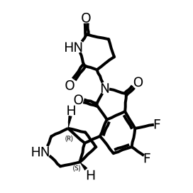 O=C1CCC(N2C(=O)c3c(C4[C@@H]5CC[C@H]4CNC5)cc(F)c(F)c3C2=O)C(=O)N1